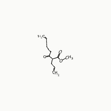 C=CCCC(=O)C(CC=C)C(=O)OC